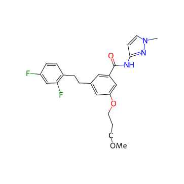 COCCCOc1cc(CCc2ccc(F)cc2F)cc(C(=O)Nc2ccn(C)n2)c1